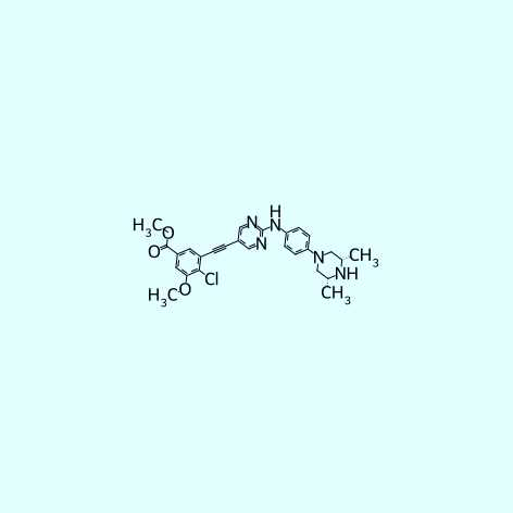 COC(=O)c1cc(C#Cc2cnc(Nc3ccc(N4C[C@@H](C)N[C@@H](C)C4)cc3)nc2)c(Cl)c(OC)c1